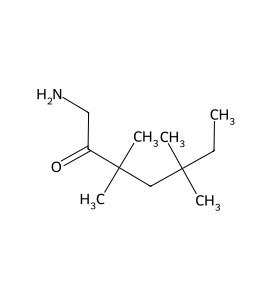 CCC(C)(C)CC(C)(C)C(=O)CN